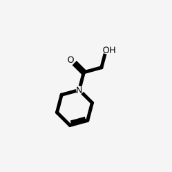 O=C(CO)N1CC=CCC1